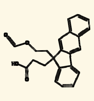 O=COCCC1(CCC(=O)O)c2ccccc2-c2cc3ccccc3cc21